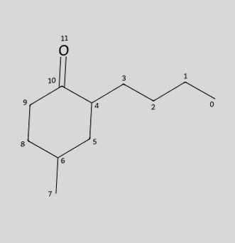 CCCCC1CC(C)CCC1=O